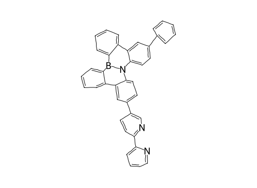 c1ccc(-c2ccc3c(c2)-c2ccccc2B2c4ccccc4-c4cc(-c5ccc(-c6ccccn6)nc5)ccc4N23)cc1